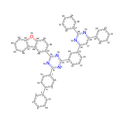 c1ccc(-c2ccc(-c3nc(-c4cccc(-c5cc(-c6ccccc6)nc(-c6ccccc6)n5)c4)nc(-c4ccc5oc6ccccc6c5c4)n3)cc2)cc1